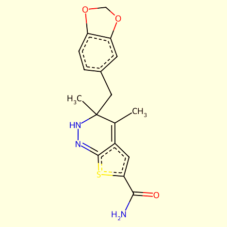 CC1=c2cc(C(N)=O)sc2=NNC1(C)Cc1ccc2c(c1)OCO2